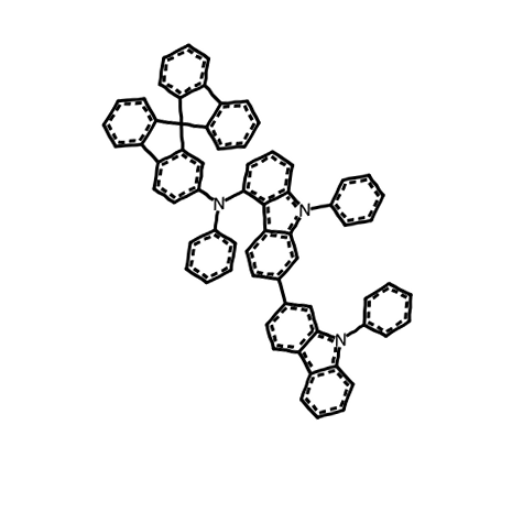 c1ccc(N(c2ccc3c(c2)C2(c4ccccc4-c4ccccc42)c2ccccc2-3)c2cccc3c2c2ccc(-c4ccc5c6ccccc6n(-c6ccccc6)c5c4)cc2n3-c2ccccc2)cc1